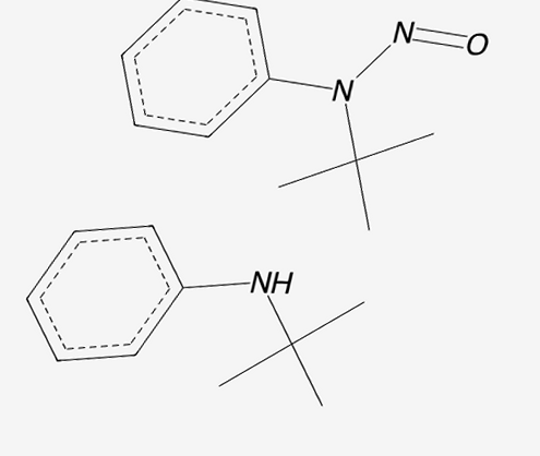 CC(C)(C)N(N=O)c1ccccc1.CC(C)(C)Nc1ccccc1